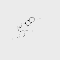 CCC1CCN(C)C[C@@]12CN=C(Nc1cnc3cc(C)ccc3n1)O2